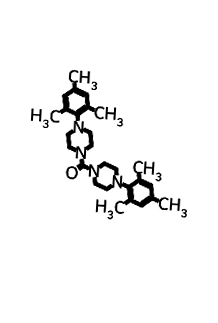 Cc1cc(C)c(N2CCN(C(=O)N3CCN(c4c(C)cc(C)cc4C)CC3)CC2)c(C)c1